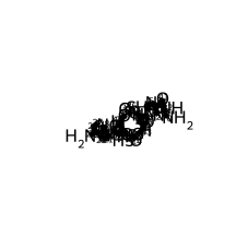 Nc1nc2c(ncn2[C@@H]2O[C@@H]3CO[P@@](=O)(S)O[C@H]4C[C@H](n5ccc6c(N)ccnc65)O[C@@H]4CO[P@@](=O)(S)O[C@@H]2C3)c(=O)[nH]1